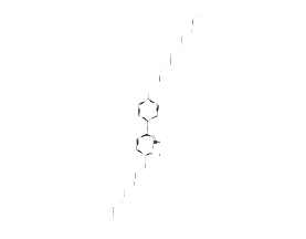 CCCCCCCCCOc1ccc(-c2ccc(CCCCCCCC)nn2)cc1